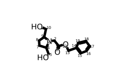 O=C(CN1C(CO)CCC1CO)OCc1ccccc1